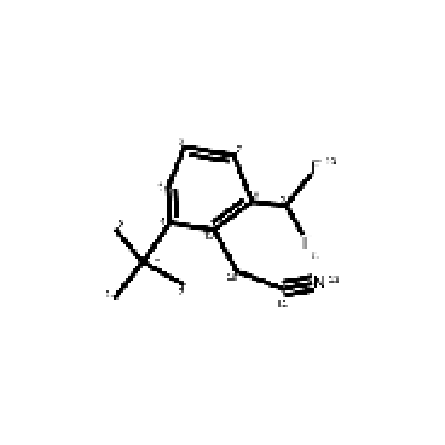 CC(C)(C)c1cccc(C(F)F)c1CC#N